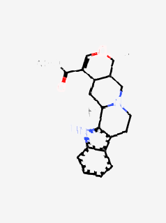 COC(=O)C1=CO[C@H](C)C2CN3CCc4c([nH]c5ccccc45)[C@H]3CC12